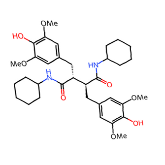 COc1cc(C[C@H](C(=O)NC2CCCCC2)[C@@H](Cc2cc(OC)c(O)c(OC)c2)C(=O)NC2CCCCC2)cc(OC)c1O